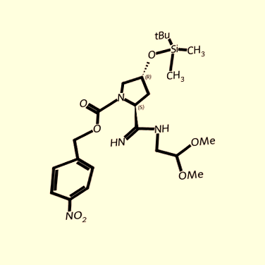 COC(CNC(=N)[C@@H]1C[C@@H](O[Si](C)(C)C(C)(C)C)CN1C(=O)OCc1ccc([N+](=O)[O-])cc1)OC